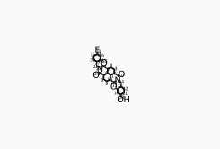 O=C1c2ccc3c4c(ccc(c24)C(=O)N1Cc1ccc(O)cc1)C(=O)N(Cc1ccc(F)cc1)C3=O